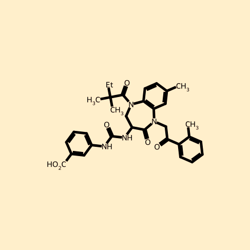 CCC(C)(C)C(=O)N1CC(NC(=O)Nc2cccc(C(=O)O)c2)C(=O)N(CC(=O)c2ccccc2C)c2cc(C)ccc21